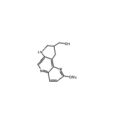 COc1ccc2ncc3c(c2n1)CC(CO)CN3